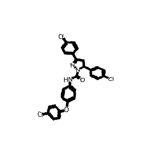 O=C(Nc1ccc(Oc2ccc(Cl)cc2)cc1)N1N=C(c2ccc(Cl)cc2)CC1c1ccc(Cl)cc1